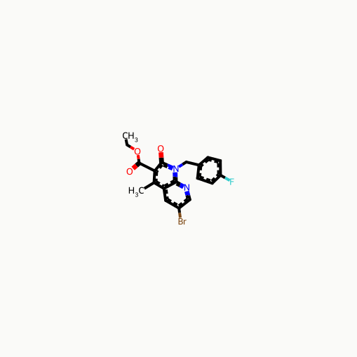 CCOC(=O)c1c(C)c2cc(Br)cnc2n(Cc2ccc(F)cc2)c1=O